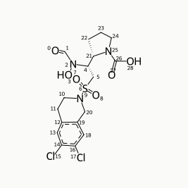 O=CN(O)[C@@H](CS(=O)(=O)N1CCc2cc(Cl)c(Cl)cc2C1)[C@@H]1CCCN1C(=O)O